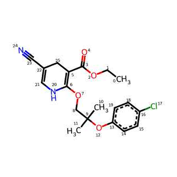 CCOC(=O)C1=C(OCC(C)(C)Oc2ccc(Cl)cc2)NC=C(C#N)C1